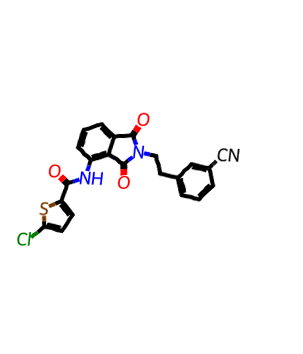 N#Cc1cccc(CCN2C(=O)c3cccc(NC(=O)c4ccc(Cl)s4)c3C2=O)c1